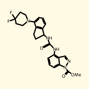 COC(=O)n1ncc2c(NC(=O)NC3CCc4c3cccc4N3CCC(F)(F)CC3)cccc21